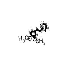 COc1ccc(C=Cc2ncccn2)cc1OC